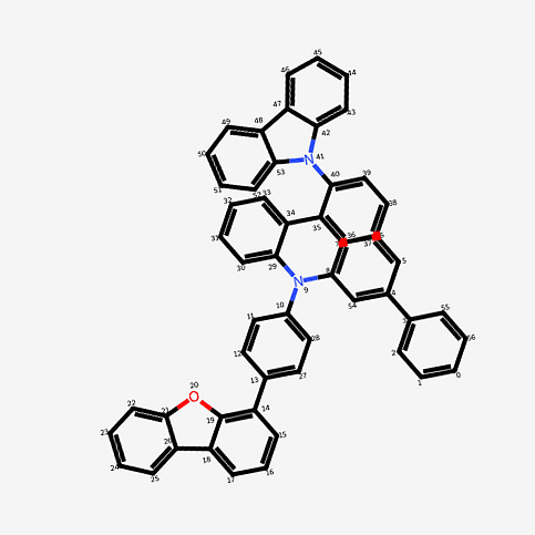 c1ccc(-c2cccc(N(c3ccc(-c4cccc5c4oc4ccccc45)cc3)c3ccccc3-c3ccccc3-n3c4ccccc4c4ccccc43)c2)cc1